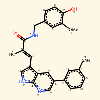 COc1cc(CNC(=O)/C(C#N)=C/c2c[nH]c3ncc(-c4cccc(SC)c4)cc23)ccc1O